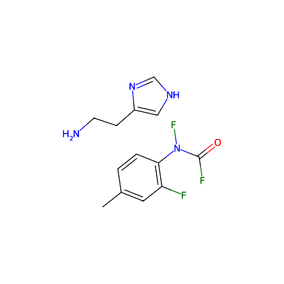 Cc1ccc(N(F)C(=O)F)c(F)c1.NCCc1c[nH]cn1